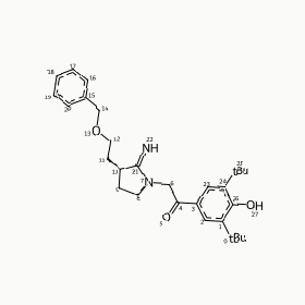 CC(C)(C)c1cc(C(=O)CN2CC[C@@H](CCOCc3ccccc3)C2=N)cc(C(C)(C)C)c1O